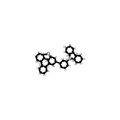 c1cc(-c2cc3oc4cccc5c6ccccc6c(c2)c3c45)cc(-n2c3ccccc3c3ccccc32)c1